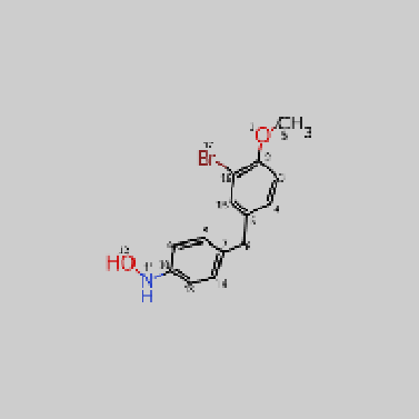 COc1ccc(Cc2ccc(NO)cc2)cc1Br